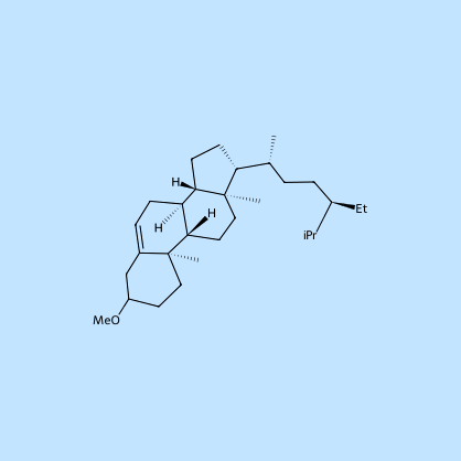 CC[C@H](CC[C@@H](C)[C@H]1CC[C@H]2[C@@H]3CC=C4CC(OC)CC[C@]4(C)[C@H]3CC[C@]12C)C(C)C